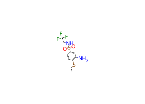 CCSc1ccc(S(=O)(=O)NCC(F)(F)F)cc1N